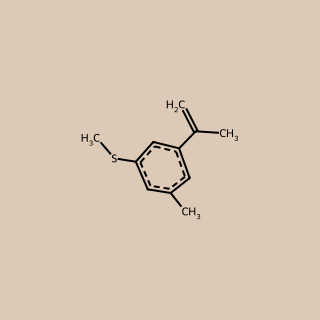 C=C(C)c1cc(C)cc(SC)c1